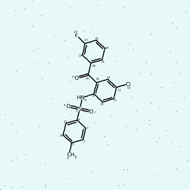 Cc1ccc(S(=O)(=O)Nc2ccc(Cl)cc2C(=O)c2cccc(F)c2)cc1